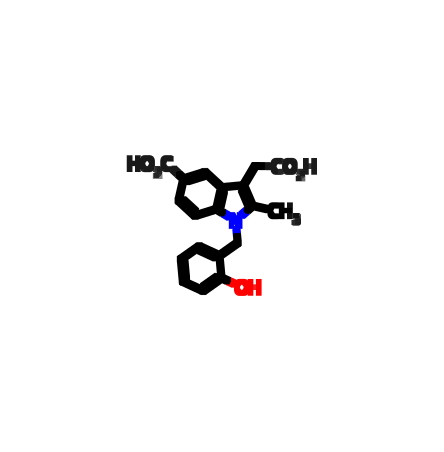 Cc1c(CC(=O)O)c2cc(C(=O)O)ccc2n1Cc1ccccc1O